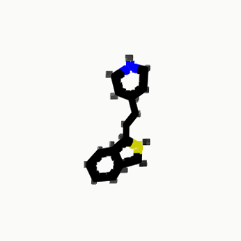 c1ccc2c(CCc3ccncc3)scc2c1